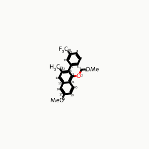 COCOc1c(-c2cccc(C(F)(F)F)c2)c(C)cc2cc(OC)ccc12